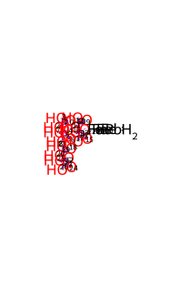 O=P(O)(O)OP(=O)(O)O.O=P(O)(O)OP(=O)(O)O.O=P(O)(O)OP(=O)(O)O.[Fe].[Fe].[Fe].[Fe].[PbH2]